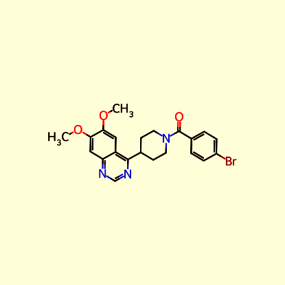 COc1cc2ncnc(C3CCN(C(=O)c4ccc(Br)cc4)CC3)c2cc1OC